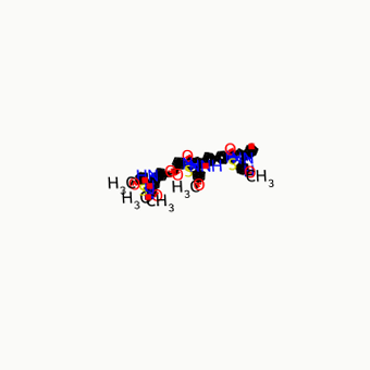 COc1ccc(C2c3[nH]c4cc(C5CCC(N6C(=O)C7Cc8c([nH]c9ccccc89)C(c8cccc(OC)c8)N7C6=S)CC5)ccc4c3CC3C(=O)N(c4cccc(C(=O)OCc5ccc6[nH]c7c(c6c5)CC5C(=O)N(C(C)C)C(=S)N5C7c5cccc(OC)c5)c4)C(=S)N32)cc1